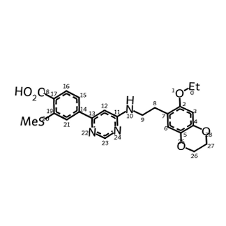 CCOc1cc2c(cc1CCNc1cc(-c3ccc(C(=O)O)c(SC)c3)ncn1)OCCO2